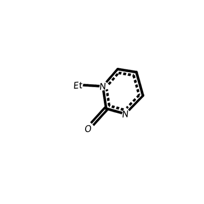 CCn1cccnc1=O